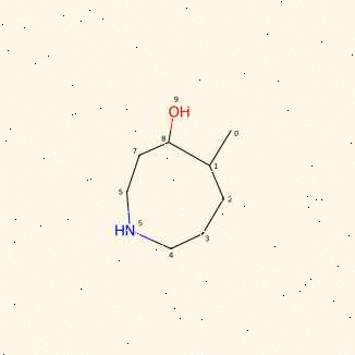 CC1CCCNCCC1O